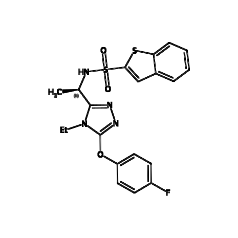 CCn1c(Oc2ccc(F)cc2)nnc1[C@@H](C)NS(=O)(=O)c1cc2ccccc2s1